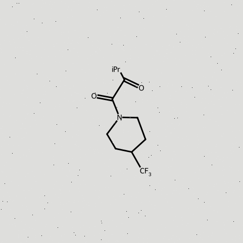 CC(C)C(=O)C(=O)N1CCC(C(F)(F)F)CC1